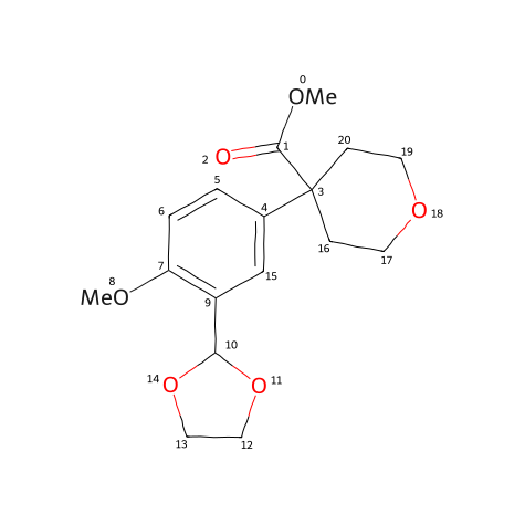 COC(=O)C1(c2ccc(OC)c(C3OCCO3)c2)CCOCC1